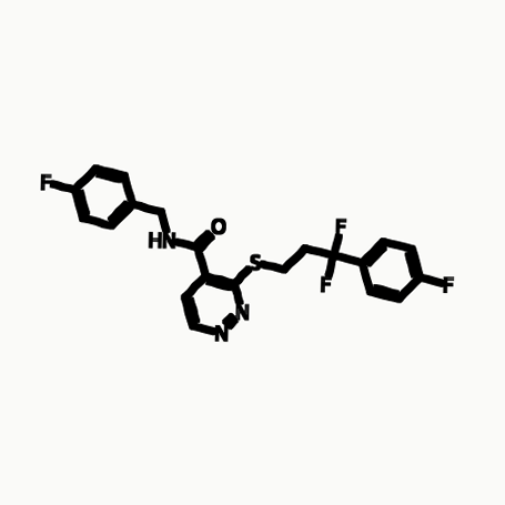 O=C(NCc1ccc(F)cc1)c1ccnnc1SCCC(F)(F)c1ccc(F)cc1